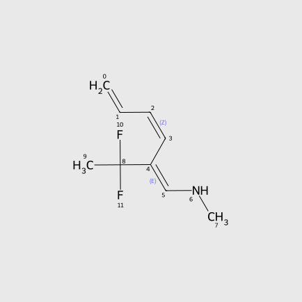 C=C/C=C\C(=C/NC)C(C)(F)F